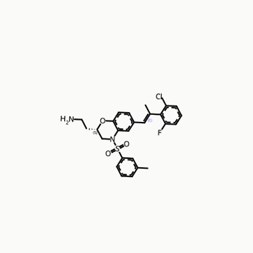 C/C(=C\c1ccc2c(c1)N(S(=O)(=O)c1cccc(C)c1)C[C@H](CCN)O2)c1c(F)cccc1Cl